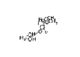 CC(O)(O)CCCCOc1cc(F)c(C(=O)OC(C)(C)C)cc1C1CC1